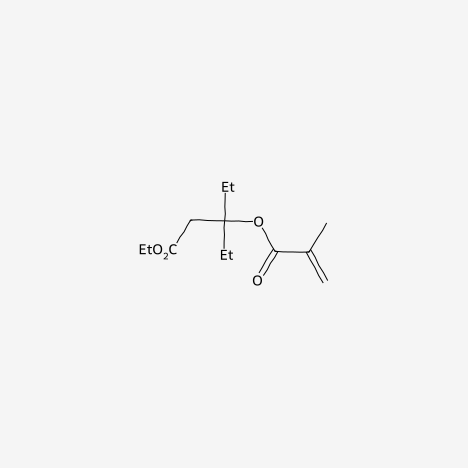 C=C(C)C(=O)OC(CC)(CC)CC(=O)OCC